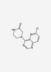 O=C1CN(c2ncnc3ccc(Cl)nc23)CCN1